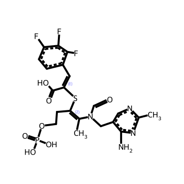 C/C(=C(\CCOP(=O)(O)O)S/C(=C/c1ccc(F)c(F)c1F)C(=O)O)N(C=O)Cc1cnc(C)nc1N